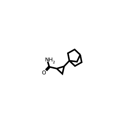 NC(=O)C1CC1C12CCC(CC1)C2